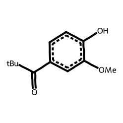 COc1cc(C(=O)C(C)(C)C)ccc1O